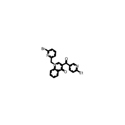 CCc1ccc(C(=O)c2cn(Cc3cccc(Br)n3)c3ccccc3c2=O)cn1